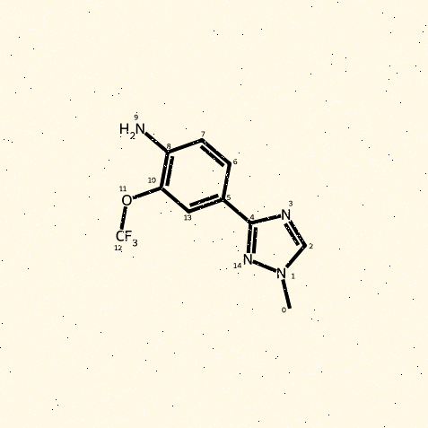 Cn1cnc(-c2ccc(N)c(OC(F)(F)F)c2)n1